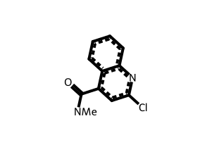 CNC(=O)c1cc(Cl)nc2ccccc12